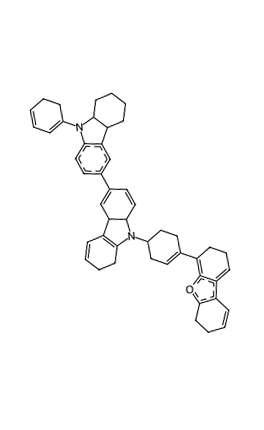 C1=CCCC(N2c3ccc(C4=CC5C6=C(CCC=C6)N(C6CC=C(C7=c8oc9c(c8=CCC7)C=CCC9)CC6)C5C=C4)cc3C3CCCCC32)=C1